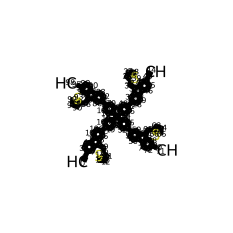 C#Cc1ccc2c(c1)/C(=C\c1cccs1)c1cc(-c3ccc(C(c4ccc(-c5ccc6c(c5)/C(=C/c5cccs5)c5cc(C#C)ccc5-6)cc4)(c4ccc(-c5ccc6c(c5)/C(=C/c5cccs5)c5cc(C#C)ccc5-6)cc4)c4ccc(-c5ccc6c(c5)/C(=C/c5cccs5)c5cc(C#C)ccc5-6)cc4)cc3)ccc1-2